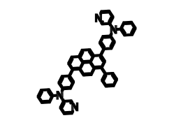 c1ccc(-c2cc(-c3ccc(N(c4ccccc4)c4cccnc4)cc3)c3ccc4ccc(-c5ccc(N(c6ccccc6)c6cccnc6)cc5)c5ccc2c3c45)cc1